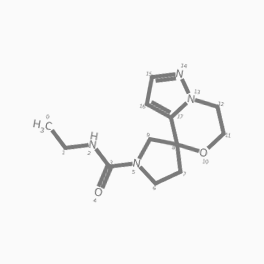 CCNC(=O)N1CCC2(C1)OCCn1nccc12